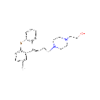 Cc1ccc2c(c1)/C(=C/CCN1CCN(CCO)CC1)c1ccccc1S2